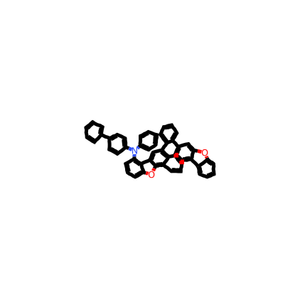 c1ccc(-c2ccc(N(c3ccccc3)c3cccc4oc5c6ccccc6c(-c6ccccc6-c6ccc7c(c6)oc6ccccc67)cc5c34)cc2)cc1